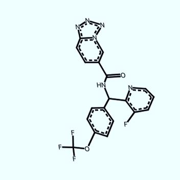 O=C(NC(c1ccc(OC(F)(F)F)cc1)c1ncccc1F)c1ccc2nnnn2c1